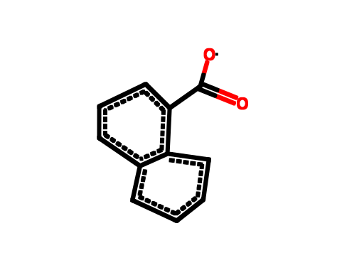 [O]C(=O)c1cccc2ccccc12